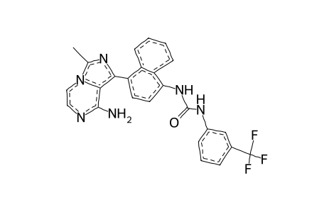 Cc1nc(-c2ccc(NC(=O)Nc3cccc(C(F)(F)F)c3)c3ccccc23)c2c(N)nccn12